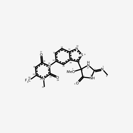 CN=C1NC(=O)C(OC)(c2snc3ccc(-n4c(=O)cc(C(F)(F)F)n(C)c4=O)cc23)N1